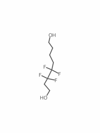 OCCCCC(F)(F)C(F)(F)CCO